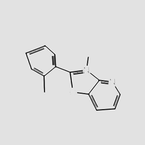 Cc1ccccc1-c1oc2cccnc2[n+]1C